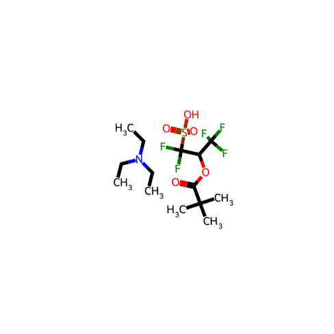 CC(C)(C)C(=O)OC(C(F)(F)F)C(F)(F)S(=O)(=O)O.CCN(CC)CC